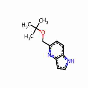 CC(C)(C)OCc1ccc2[nH]ccc2n1